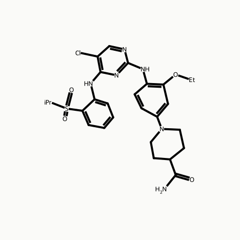 CCOc1cc(N2CCC(C(N)=O)CC2)ccc1Nc1ncc(Cl)c(Nc2ccccc2S(=O)(=O)C(C)C)n1